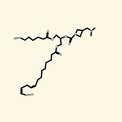 CCCCC/C=C\C/C=C\CCCCCCCC(=O)OCC(COC(=O)CCCCCCCCCCCCCCC)OC(=O)N1CC(CN(C)C)C1